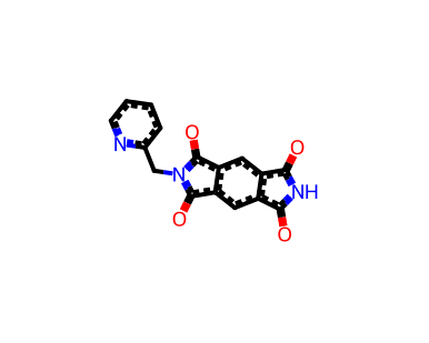 O=c1[nH]c(=O)c2cc3c(=O)n(Cc4ccccn4)c(=O)c3cc12